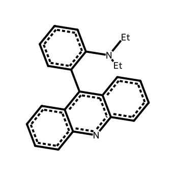 CCN(CC)c1ccccc1-c1c2ccccc2nc2ccccc12